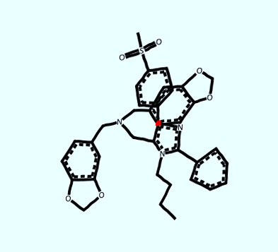 CCCCn1c(-c2ccccc2)nc(-c2ccc(S(C)(=O)=O)cc2)c1CN(Cc1ccc2c(c1)OCO2)Cc1ccc2c(c1)OCO2